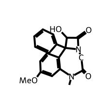 COc1ccc2c(c1)N(C)C(=O)CN1C(=O)C(O)C21c1ccccc1